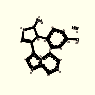 Br.NC1SC=C(c2cnc3cnccn23)N1c1ccc(Cl)cc1